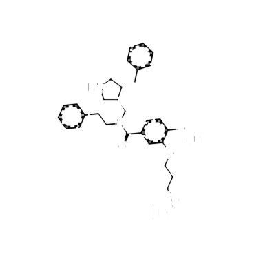 COCCCOc1cc(C(=O)N(CCc2ccccc2)C[C@H]2CNC[C@@H]2Cc2ccccc2)ccc1OC